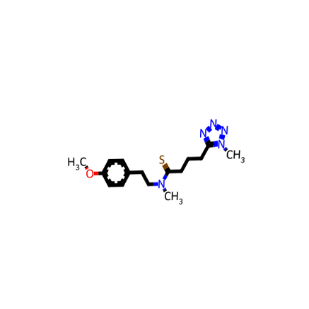 COc1ccc(CCN(C)C(=S)CCCc2nnnn2C)cc1